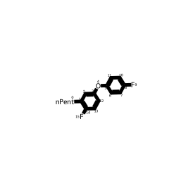 CCCCCc1cc(Oc2ccc(F)cc2)ccc1F